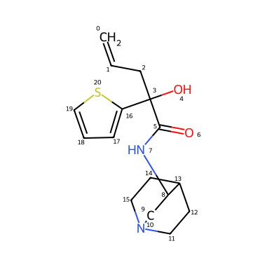 C=CCC(O)(C(=O)NC1CN2CCC1CC2)c1cccs1